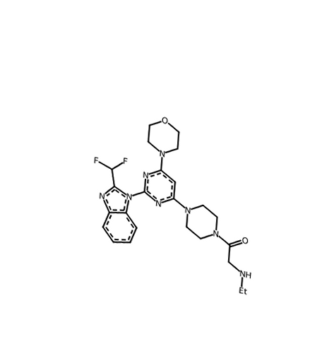 CCNCC(=O)N1CCN(c2cc(N3CCOCC3)nc(-n3c(C(F)F)nc4ccccc43)n2)CC1